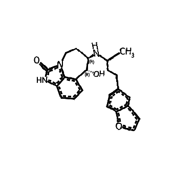 CC(CCc1ccc2occc2c1)N[C@@H]1CCn2c(=O)[nH]c3cccc(c32)[C@H]1O